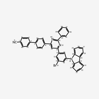 N#Cc1ccc(-c2ccc(-c3cc(-c4cc(Br)cc(-n5c6ccccc6c6ccccc65)c4)nc(-c4ccccc4)n3)cc2)cc1